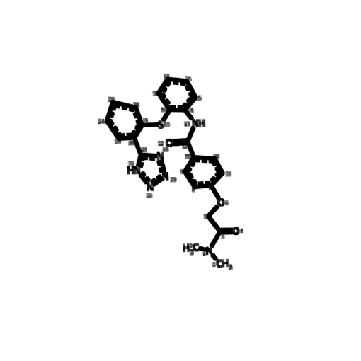 CN(C)C(=O)COc1ccc(C(=O)Nc2ccccc2Sc2ccccc2-c2nnn[nH]2)cc1